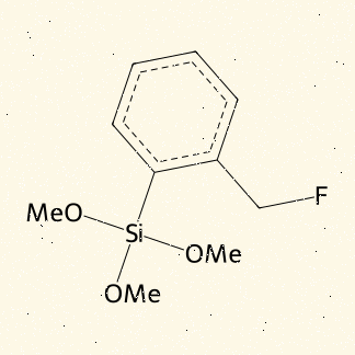 CO[Si](OC)(OC)c1ccccc1CF